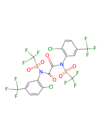 O=C(C(=O)N(c1cc(C(F)(F)F)ccc1Cl)S(=O)(=O)C(F)(F)F)N(c1cc(C(F)(F)F)ccc1Cl)S(=O)(=O)C(F)(F)F